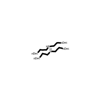 CCCCCCCCCCCCNCCCCCCCCCCCC.CCCCCCCCCCCCNCCCCCCCCCCCC